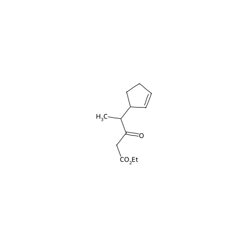 CCOC(=O)CC(=O)C(C)C1C=CCC1